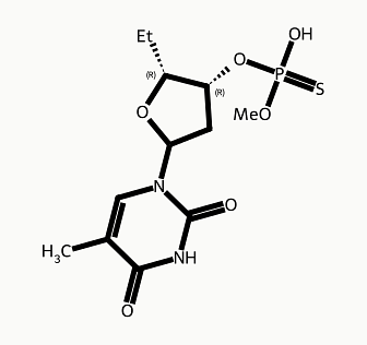 CC[C@H]1OC(n2cc(C)c(=O)[nH]c2=O)C[C@H]1OP(O)(=S)OC